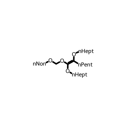 CCCCCCCCCOCOC(OCCCCCCC)=C(CCCCC)OCCCCCCC